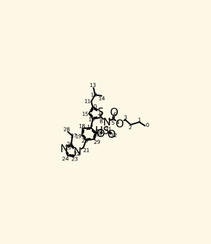 CCCCOC(=O)N(c1sc(CC(C)C)cc1-c1ccc(Cn2ccnc2CC)cc1)[SH](=O)=O